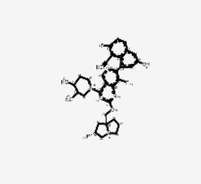 C#Cc1c(F)ccc2cc(O)cc(-c3ncc4c(N5CCC(O)C(C#N)C5)nc(OC[C@@]56CCCN5C[C@H](F)C6)nc4c3F)c12